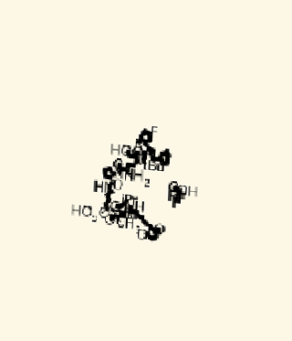 CC(C)[C@H](NC(=O)CCCCCN1C(=O)C=CC1=O)C(=O)N[C@@H](C)C(=O)N[C@@H](CCCCNC(=O)[C@@H]1CCC[C@@H]1NC(=O)[C@@H](N)CCN(C(=O)CO)[C@@H](c1nc(-c2cc(F)ccc2F)cn1Cc1ccccc1)C(C)(C)C)C(=O)O.O=C(O)C(F)(F)F